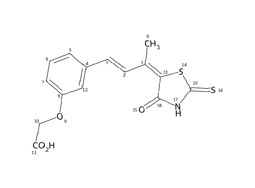 CC(/C=C/c1cccc(OCC(=O)O)c1)=C1\SC(=S)NC1=O